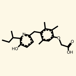 CCC(C)c1nc(Cc2c(C)cc(OCC(=O)O)c(C)c2C)ccc1O